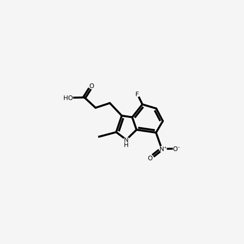 Cc1[nH]c2c([N+](=O)[O-])ccc(F)c2c1CCC(=O)O